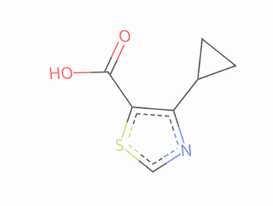 O=C(O)c1scnc1C1CC1